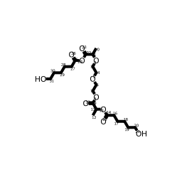 CC(OCCOCCOC(=O)C(C)OC(=O)CCCCCO)C(=O)OC(=O)CCCCCO